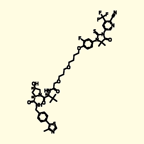 Cc1ncsc1-c1ccc(CNC(=O)[C@@H]2C[C@@H](O)CN2C(=O)[C@@H](NC(=O)COCCCOCCCCOc2ccc(N3C(=S)N(c4cnc(C#N)c(C(F)(F)F)c4)C(=O)C3(C)C)cc2F)C(C)(C)C)cc1